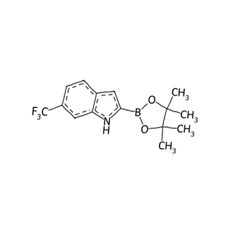 CC1(C)OB(c2cc3ccc(C(F)(F)F)cc3[nH]2)OC1(C)C